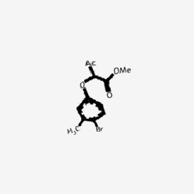 COC(=O)C(Oc1ccc(Br)c(C)c1)C(C)=O